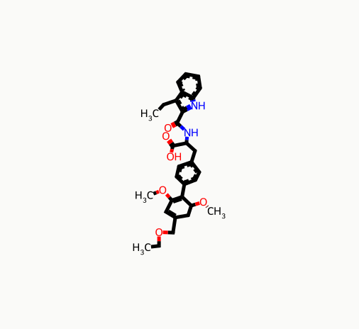 CCOCC1=CC(OC)=C(c2ccc(CC(NC(=O)c3[nH]c4ccccc4c3CC)C(=O)O)cc2)C(OC)C1